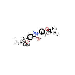 CC(C)(C)[Si](C)(C)Oc1ccc(-n2nc3ccc(O[Si](C)(C)C(C)(C)C)cc3c2Br)cc1